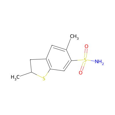 Cc1cc2c(cc1S(N)(=O)=O)SC(C)C2